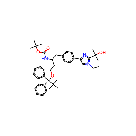 CCn1cc(-c2ccc(CC(CCO[Si](c3ccccc3)(c3ccccc3)C(C)(C)C)NC(=O)OC(C)(C)C)cc2)nc1C(C)(C)O